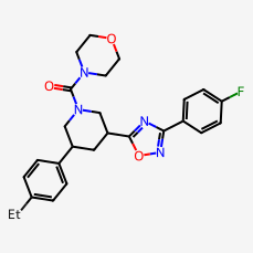 CCc1ccc(C2CC(c3nc(-c4ccc(F)cc4)no3)CN(C(=O)N3CCOCC3)C2)cc1